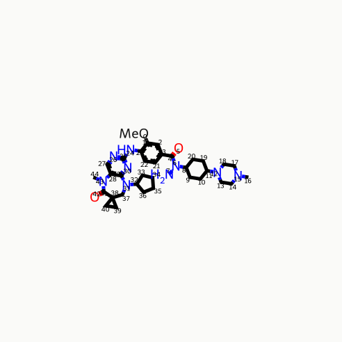 COc1cc(C(=O)N(N)C2CCC(N3CCN(C)CC3)CC2)ccc1Nc1ncc2c(n1)N(C1CCCC1)CC1(CC1)C(=O)N2C